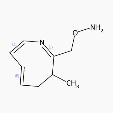 CC1C/C=C/C=C\N=C/1CON